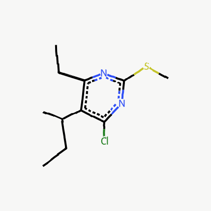 CCc1nc(SC)nc(Cl)c1C(C)CC